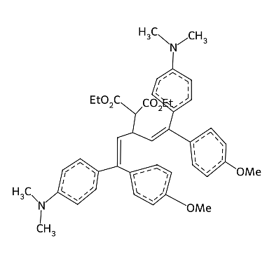 CCOC(=O)C(C(=O)OCC)C(C=C(c1ccc(OC)cc1)c1ccc(N(C)C)cc1)C=C(c1ccc(OC)cc1)c1ccc(N(C)C)cc1